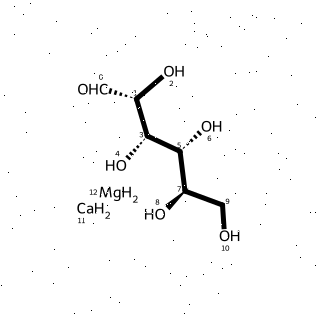 O=C[C@H](O)[C@@H](O)[C@H](O)[C@H](O)CO.[CaH2].[MgH2]